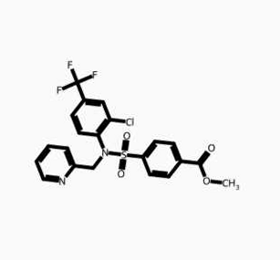 COC(=O)c1ccc(S(=O)(=O)N(Cc2ccccn2)c2ccc(C(F)(F)F)cc2Cl)cc1